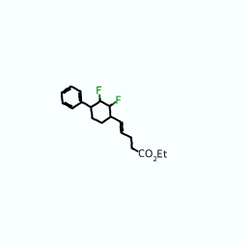 CCOC(=O)CCC=CC1CCC(c2ccccc2)C(F)C1F